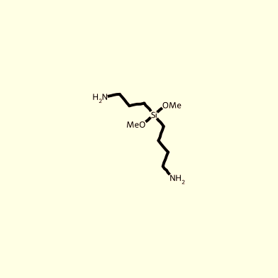 CO[Si](CCCN)(CCCCN)OC